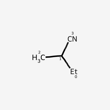 CCC(C)C#N